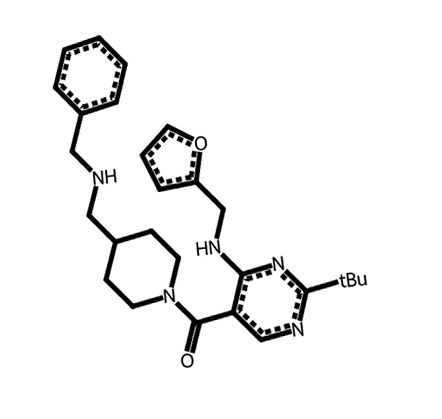 CC(C)(C)c1ncc(C(=O)N2CCC(CNCc3ccccc3)CC2)c(NCc2ccco2)n1